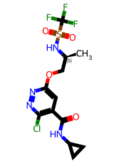 C[C@@H](COc1cc(C(=O)NC2CC2)c(Cl)nn1)NS(=O)(=O)C(F)(F)F